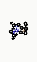 CC(C)(C)c1cc(C(C)(C)C)c2c(c1)c1ccccc1n2-c1nc(-c2cccc(S(c3ccccc3)(c3ccccc3)c3cccc(-c4ccccc4)c3)c2)nc(-n2c3ccccc3c3cc(C(C)(C)C)cc(C(C)(C)C)c32)n1